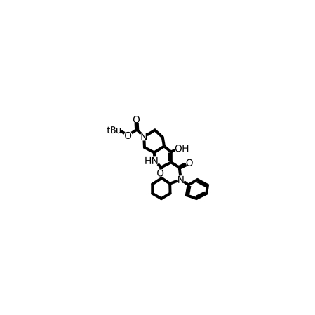 CC(C)(C)OC(=O)N1CCC2C(O)=C(C(=O)N(c3ccccc3)C3CCCCC3)C(=O)NC2C1